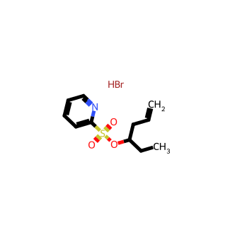 Br.C=CCC(CC)OS(=O)(=O)c1ccccn1